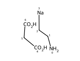 NC[CH2][Na].O=C(O)CC(=O)O